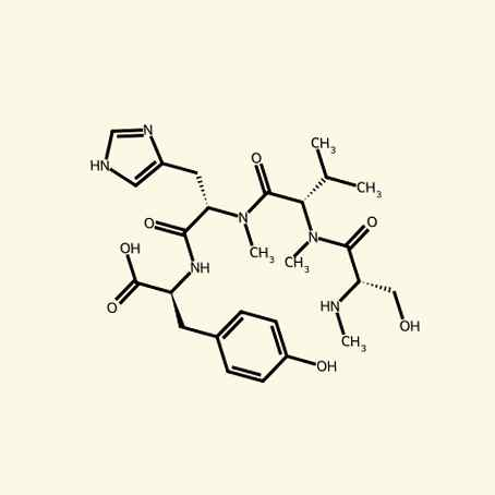 CN[C@@H](CO)C(=O)N(C)[C@H](C(=O)N(C)[C@@H](Cc1c[nH]cn1)C(=O)N[C@@H](Cc1ccc(O)cc1)C(=O)O)C(C)C